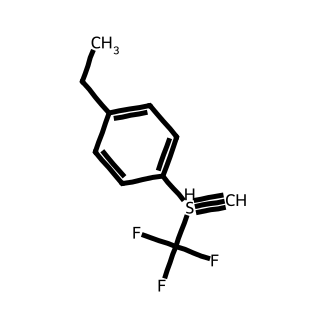 C#[SH](c1ccc(CC)cc1)C(F)(F)F